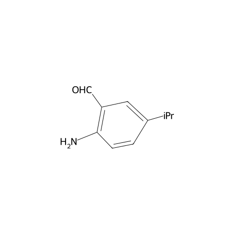 CC(C)c1ccc(N)c(C=O)c1